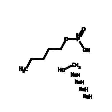 CCCCCO[PH](=O)O.CO.[NaH].[NaH].[NaH].[NaH]